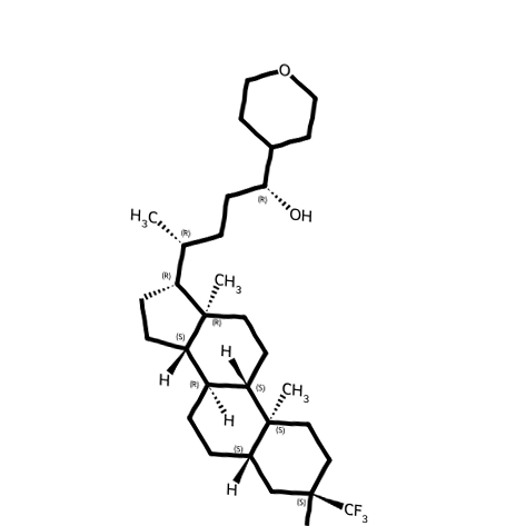 C[C@H](CC[C@@H](O)C1CCOCC1)[C@H]1CC[C@H]2[C@@H]3CC[C@H]4C[C@](O)(C(F)(F)F)CC[C@]4(C)[C@H]3CC[C@]12C